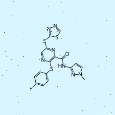 Cn1ccc(NC(=O)c2nc(Sc3nncs3)cnc2Sc2ccc(F)cc2)n1